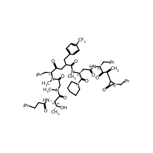 C=C(C(=O)[C@H](CC(C)C)NC(=O)C[C@@H](C(=O)N1CCCCC1)N(C)C(=O)C(CC(=O)[C@H](CC(C)C)N(C)C(=O)CN(C)C(=O)[C@@H](NC(=O)CCC(C)C)[C@@H](C)O)Cc1ccc(C(F)(F)F)cc1)C1C(=O)[C@@H]1CC(C)C